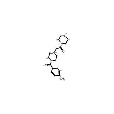 Cc1ccc(C(=O)N2CCN(CC(=O)N3CCOCC3)CC2)cc1